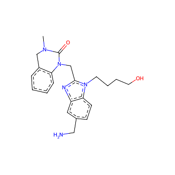 CN1Cc2ccccc2N(Cc2nc3cc(CN)ccc3n2CCCCO)C1=O